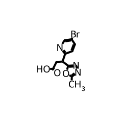 Cc1nnc(C(CC(=O)O)c2ccc(Br)cn2)o1